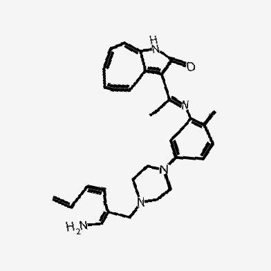 C=C/C=C\C(=C/N)CN1CCN(c2ccc(C)c(/N=C(\C)c3c4cccccc-4[nH]c3=O)c2)CC1